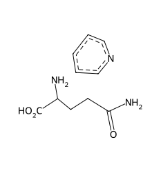 NC(=O)CCC(N)C(=O)O.c1ccncc1